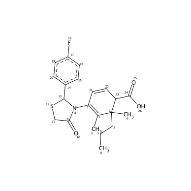 CCCC1(C)C(C)=C(N2C(=O)CSC2c2ccc(F)cc2)C=CC1C(=O)O